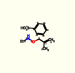 C=C(C)CONCC.O=S(=O)(O)c1ccccc1